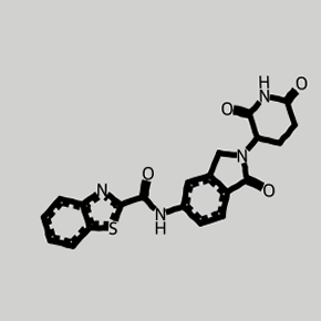 O=C1CCC(N2Cc3cc(NC(=O)c4nc5ccccc5s4)ccc3C2=O)C(=O)N1